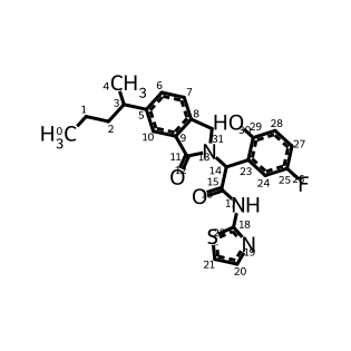 CCCC(C)c1ccc2c(c1)C(=O)N(C(C(=O)Nc1nccs1)c1cc(F)ccc1O)C2